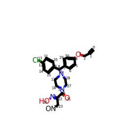 C#CCOc1ccc(C(c2ccc(Cl)cc2)N2CCN(C(=O)C(CN=O)=NO)CC2)cc1